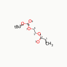 C=CC(=O)OCCOC(=O)OC(C)(C)C